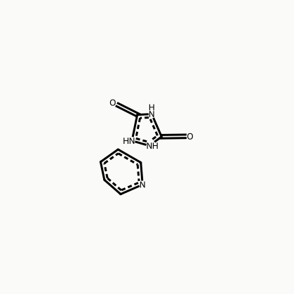 O=c1[nH][nH]c(=O)[nH]1.c1ccncc1